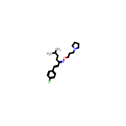 CC(C)CCC(/C=C/c1ccc(Cl)cc1)=N\OCCCN1CCCC1